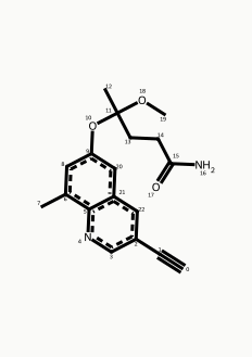 C#Cc1cnc2c(C)cc(OC(C)(CCC(N)=O)OC)cc2c1